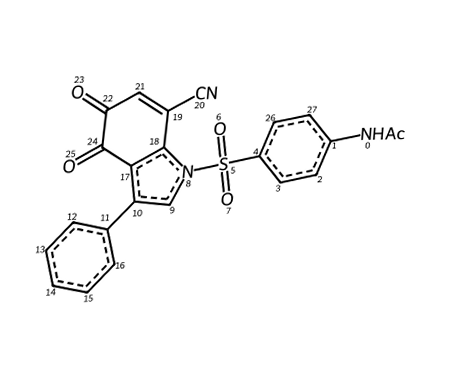 CC(=O)Nc1ccc(S(=O)(=O)n2cc(-c3ccccc3)c3c2C(C#N)=CC(=O)C3=O)cc1